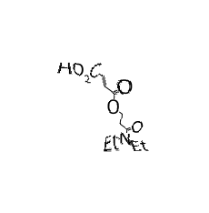 CCN(CC)C(=O)CCOC(=O)/C=C/C(=O)O